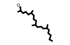 CCCCCC(C)CCCC(C)CCCC(C)CCCC(C)C=O